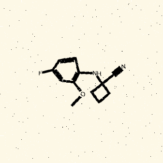 COc1cc(F)ccc1NC1(C#N)CCC1